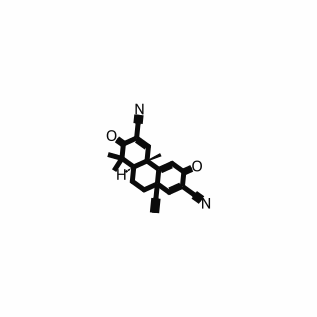 C#CC12C=C(C#N)C(=O)C=C1[C@@]1(C)C=C(C#N)C(=O)C(C)(C)[C@@H]1CC2